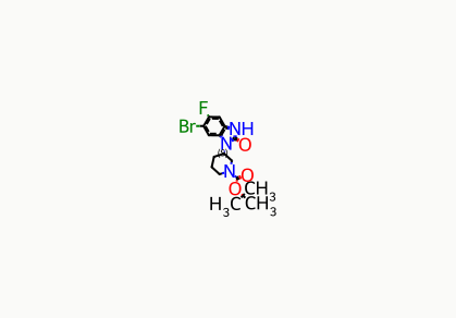 CC(C)(C)OC(=O)N1CCC[C@H](n2c(=O)[nH]c3cc(F)c(Br)cc32)C1